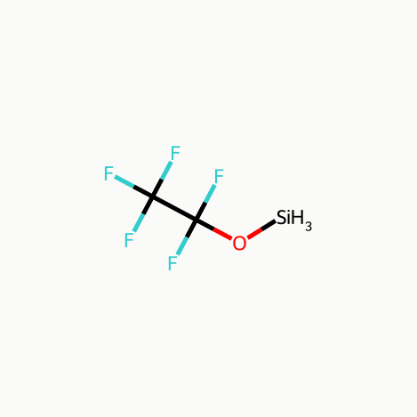 FC(F)(F)C(F)(F)O[SiH3]